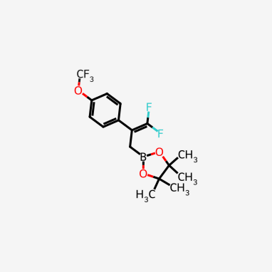 CC1(C)OB(CC(=C(F)F)c2ccc(OC(F)(F)F)cc2)OC1(C)C